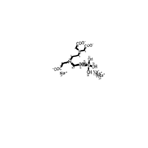 O=C([O-])CN(CCN(CC(=O)[O-])CC(=O)[O-])CC(=O)[O-].O[Si](O)(O)O.[Na+].[Na+].[Na+].[Na+]